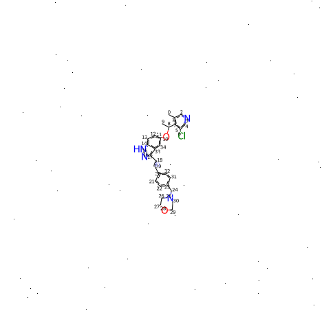 Cc1cncc(Cl)c1C(C)Oc1ccc2[nH]nc(/C=C/c3ccc(CN4CCOCC4)cc3)c2c1